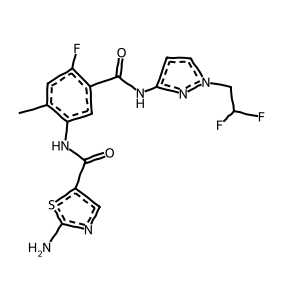 Cc1cc(F)c(C(=O)Nc2ccn(CC(F)F)n2)cc1NC(=O)c1cnc(N)s1